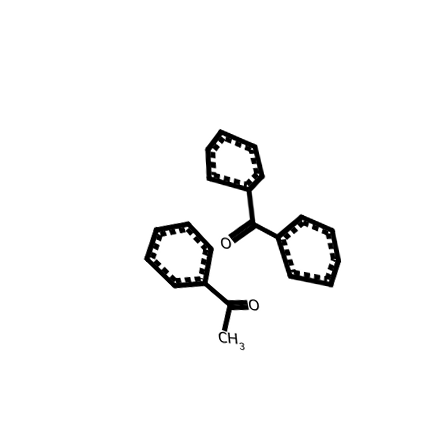 CC(=O)c1ccccc1.O=C(c1ccccc1)c1ccccc1